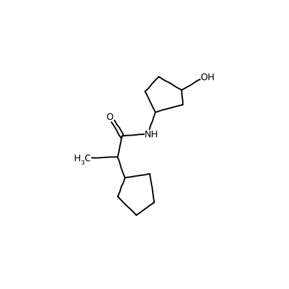 CC(C(=O)NC1CCC(O)C1)C1CCCC1